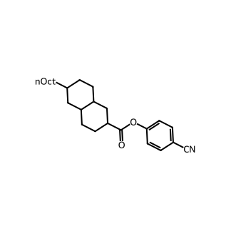 CCCCCCCCC1CCC2CC(C(=O)Oc3ccc(C#N)cc3)CCC2C1